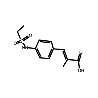 CCS(=O)(=O)Nc1ccc(/C=C(\C)C(=O)O)cc1